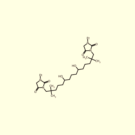 CCN1CC(=O)N(CC(C)(C)CCCC(O)CCCC(O)CCCC(C)(C)CN2C(=O)CN(CC)C2=O)C1=O